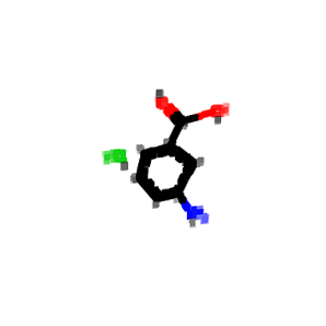 Cl.Nc1cccc(C(=O)O)c1